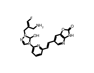 NC/C(=C\F)CN1N=CN(c2cccc(/C=C/c3cnc4[nH]c(=O)oc4c3)n2)C1O